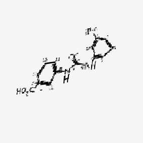 CC(C)c1cccc(NC(=O)Nc2cccc(C(=O)O)c2)c1